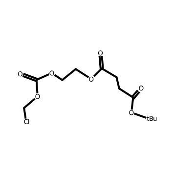 CC(C)(C)OC(=O)CCC(=O)OCCOC(=O)OCCl